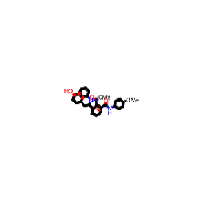 COC(=O)C1=C(C(=O)Nc2ccc(OC)cc2)C2C=CC1(C(Cc1ccccc1)Nc1cccc(CO)c1)O2